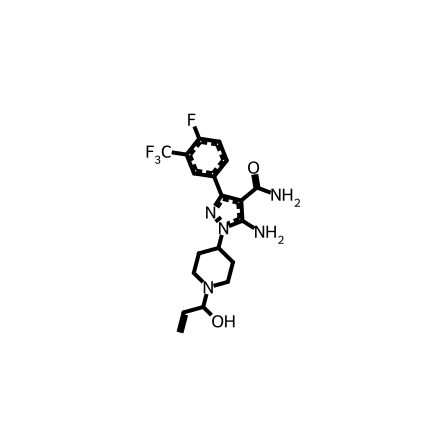 C=CC(O)N1CCC(n2nc(-c3ccc(F)c(C(F)(F)F)c3)c(C(N)=O)c2N)CC1